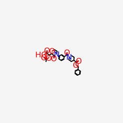 CC(=O)O[C@@H](C(=O)O)[C@H]1OCCN(c2cccc(C(=O)N3CCC(C(=O)OCc4ccccc4)CC3)c2)C1=O